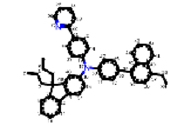 CCCC1(CCC)c2ccccc2-c2ccc(N(c3ccc(-c4ccccn4)cc3)c3ccc(-c4ccc(CC)c5ccccc45)cc3)cc21